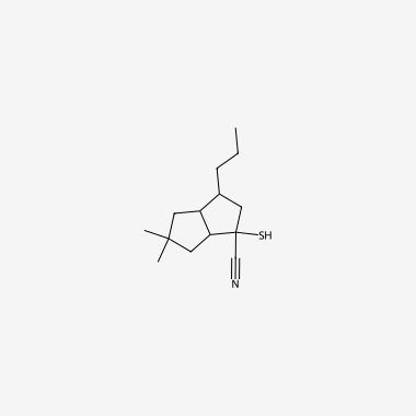 CCCC1CC(S)(C#N)C2CC(C)(C)CC12